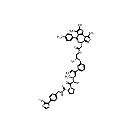 C=C/C(=C\N(C)C(C(=O)N1CCC[C@H]1C(=O)NCc1ccc(-c2scnc2C)cc1)C(C)C)c1cccc(O[C@H](C)CNC(=O)C[C@@H]2N=C(c3ccc(C)cc3)c3c(sc(C)c3C)-n3c(C)nnc32)c1